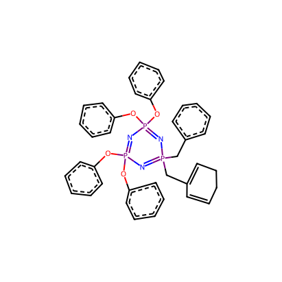 C1=CC(CP2(Cc3ccccc3)=NP(Oc3ccccc3)(Oc3ccccc3)=NP(Oc3ccccc3)(Oc3ccccc3)=N2)=CCC1